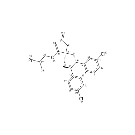 C=CC[C@@](C)(C[C@H](c1cccc(Cl)c1)[C@H](C)c1ccc(Cl)cc1)C(=C)OCC(C)C(C)C